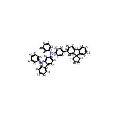 c1ccc(N(c2ccc(-c3ccc4c(c3)C3(CCCC3)c3ccccc3-4)cc2)c2ccc3c4ccccc4n(-c4ccccc4)c3c2)cc1